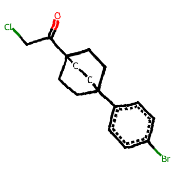 O=C(CCl)C12CCC(c3ccc(Br)cc3)(CC1)CC2